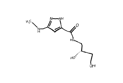 CNc1cc(C(=O)NC[C@@H](O)CO)[nH]n1